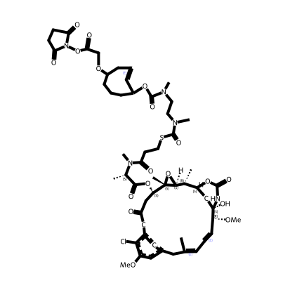 COc1cc2cc(c1Cl)CC(=O)C[C@H](OC(=O)[C@H](C)N(C)C(=O)CCSC(=O)N(C)CCN(C)C(=O)OC1/C=C/CC(OCC(=O)ON3C(=O)CCC3=O)CCC1)[C@]1(C)O[C@H]1[C@H](C)[C@@H]1C[C@@](O)(NC(=O)O1)[C@H](OC)/C=C/C=C(\C)C2